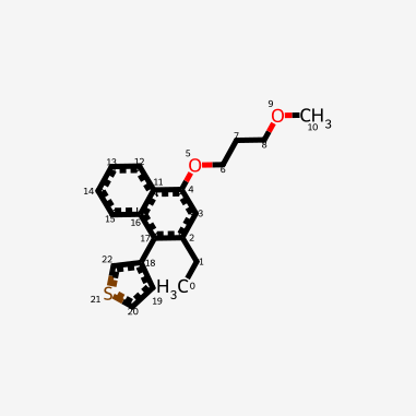 CCc1cc(OCCCOC)c2ccccc2c1-c1ccsc1